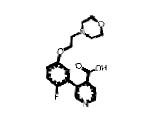 O=C(O)c1ccncc1-c1cc(OCCN2CCOCC2)ccc1F